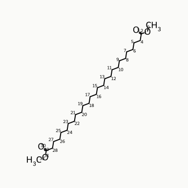 COC(=O)CCCCCCCCCCCCCCCCCCCCCCCCCC(=O)OC